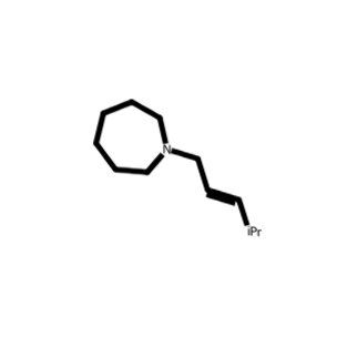 CC(C)/C=C/CN1CCCCCC1